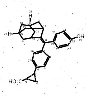 O=C(O)C1CC1c1ccc(C(=C2C3C[C@H]4CC2C[C@H](C3)C4)c2ccc(O)cc2)cc1